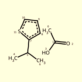 CC(=O)O.CC(C)c1cccs1